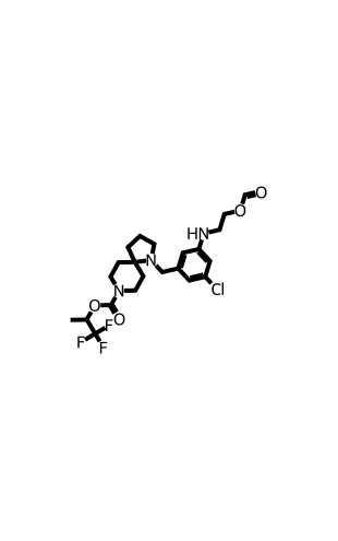 CC(OC(=O)N1CCC2(CCCN2Cc2cc(Cl)cc(NCCOC=O)c2)CC1)C(F)(F)F